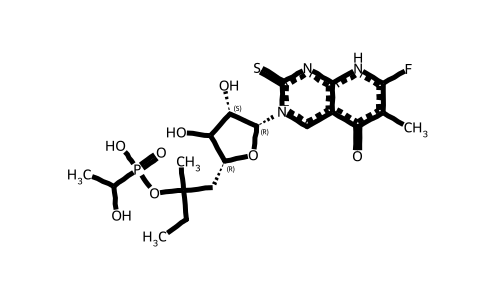 CCC(C)(C[C@H]1O[C@@H](n2cc3c(=O)c(C)c(F)[nH]c3nc2=S)[C@@H](O)C1O)OP(=O)(O)C(C)O